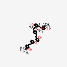 COc1cc(CCc2cc(Oc3cccc(CCc4ccc(C(C)(C)C)c(O)c4)c3)ccc2O)ccc1CC(C)(C)c1cc(CCc2ccc(O)c(C(C)(C)C)c2)ccc1O